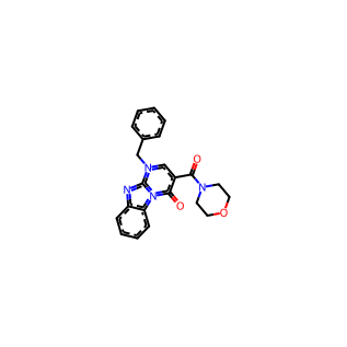 O=C(c1cn(Cc2ccccc2)c2nc3ccccc3n2c1=O)N1CCOCC1